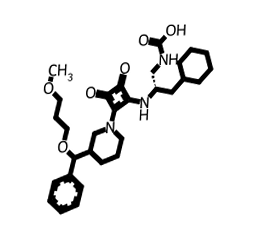 COCCCOC(c1ccccc1)C1CCCN(c2c(N[C@H](CNC(=O)O)CC3CCCCC3)c(=O)c2=O)C1